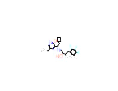 CC(=O)N[C@@H](Cc1ccc(F)c(F)c1F)[C@H](O)CN[C@H]1CC2(CCC2)Oc2ncc(CC(C)C)cc21